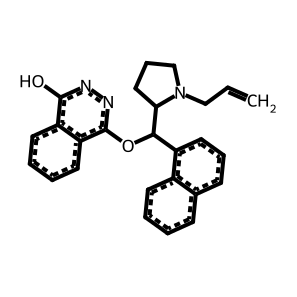 C=CCN1CCCC1C(Oc1nnc(O)c2ccccc12)c1cccc2ccccc12